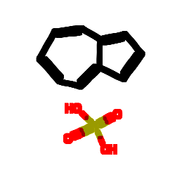 O=S(=O)(O)O.c1ccc2cccc-2cc1